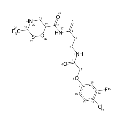 C=C(CCNC(=O)COc1ccc(Cl)c(F)c1)NC(=O)C1CNC(C(F)(F)F)SO1